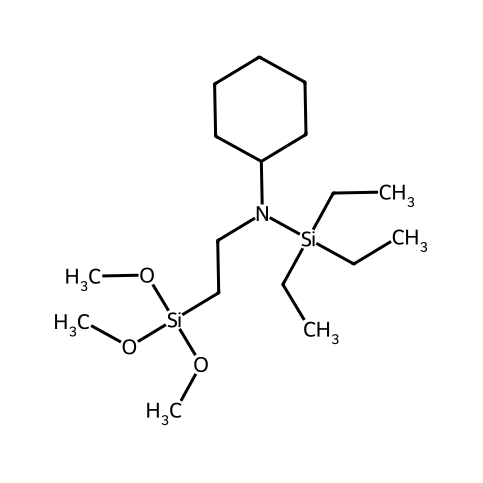 CC[Si](CC)(CC)N(CC[Si](OC)(OC)OC)C1CCCCC1